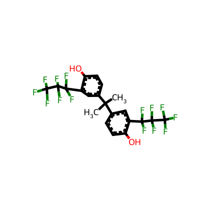 CC(C)(c1ccc(O)c(C(F)(F)C(F)(F)C(F)(F)F)c1)c1ccc(O)c(C(F)(F)C(F)(F)C(F)(F)F)c1